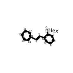 CCCCCCc1ccccc1C=Cc1ccccc1